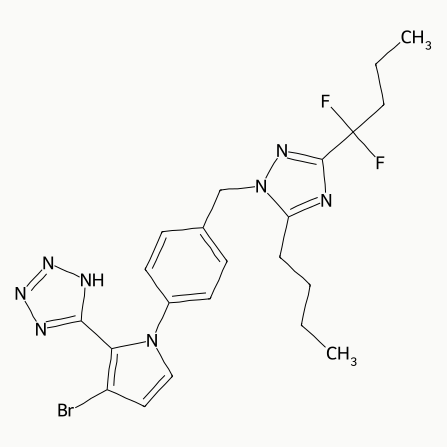 CCCCc1nc(C(F)(F)CCC)nn1Cc1ccc(-n2ccc(Br)c2-c2nnn[nH]2)cc1